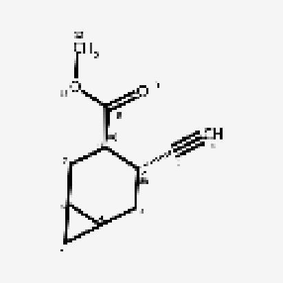 C#C[C@@H]1CC2CC2C[C@H]1C(=O)OC